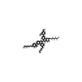 CCCCCCCc1ccc(CC(c2ccc(-c3ccc(CC)cc3F)cc2)C(Cc2ccc(-c3ccc(CCCCCCC)cc3F)cc2)c2ccc(CCCCC)cc2)cc1